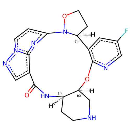 O=C1N[C@@H]2CCNC[C@@H]2Oc2ncc(F)cc2[C@@H]2CCON2c2ccn3ncc1c3n2